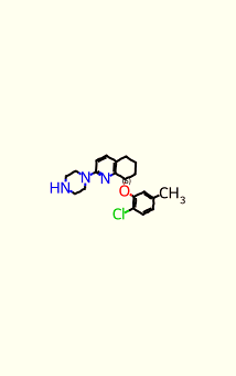 Cc1ccc(Cl)c(O[C@H]2CCCc3ccc(N4CCNCC4)nc32)c1